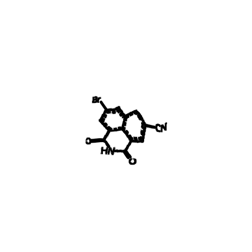 N#Cc1cc2c3c(cc(Br)cc3c1)C(=O)NC2=O